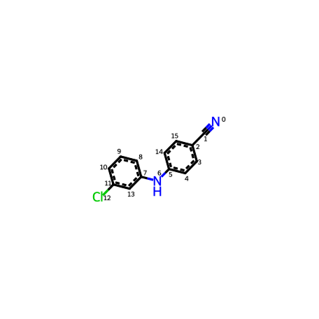 N#Cc1ccc(Nc2cccc(Cl)c2)cc1